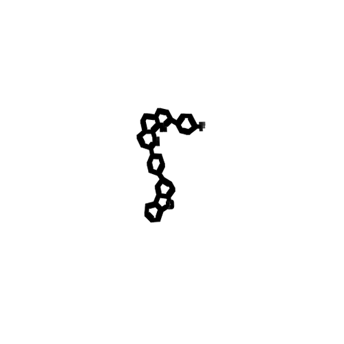 Fc1ccc(-c2ccc3ccc4ccc(-c5ccc(-c6ccc7oc8ccccc8c7c6)cc5)nc4c3n2)cc1